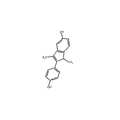 Cc1c(-c2ccc(O)cc2)n(C)c2ccc(O)cc12